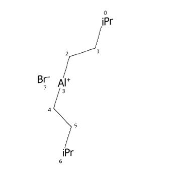 CC(C)C[CH2][Al+][CH2]CC(C)C.[Br-]